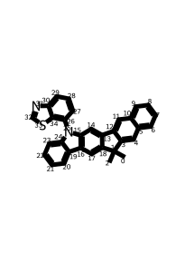 CC1(C)c2cc3ccccc3cc2-c2cc3c(cc21)c1ccccc1n3-c1cccc2ncsc12